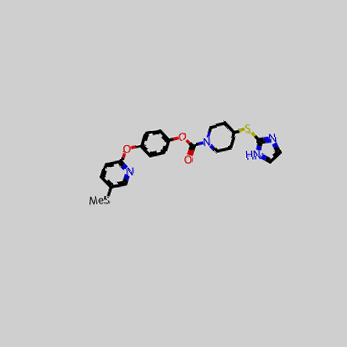 CSc1ccc(Oc2ccc(OC(=O)N3CCC(Sc4ncc[nH]4)CC3)cc2)nc1